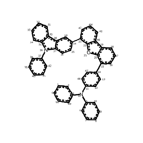 c1ccc(N(c2ccccc2)c2ccc(-c3cccc4c3oc3c(-c5ccc6c(c5)c5ccccc5n6-c5ccccc5)cccc34)cc2)cc1